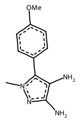 COc1ccc(-c2c(N)c(N)nn2C)cc1